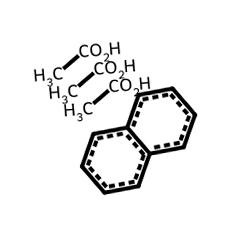 CC(=O)O.CC(=O)O.CC(=O)O.c1ccc2ccccc2c1